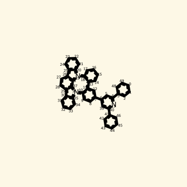 c1ccc(-c2cc(-c3ccc4c(c3)c3ccccc3n3c5ccccc5c5ccc6c7ccccc7n4c6c53)cc(-c3ccccc3)n2)cc1